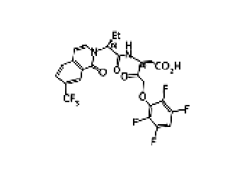 CC[C@@H](C(=O)N[C@@H](CC(=O)O)C(=O)COc1c(F)c(F)cc(F)c1F)n1ccc2ccc(C(F)(F)F)cc2c1=O